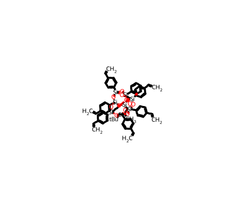 C=Cc1ccc([Si]23O[Si]4(CC(C)CC(C)(C)C)O[Si]5(c6ccccc6)O[Si](c6ccc(C=C)cc6)(O2)O[Si]2(c6ccc(C=C)cc6)O[Si](c6ccc(C=C)cc6)(O5)O[Si](c5ccc(C=C)cc5)(O4)O[Si](c4ccc(C=C)cc4)(O3)O2)cc1